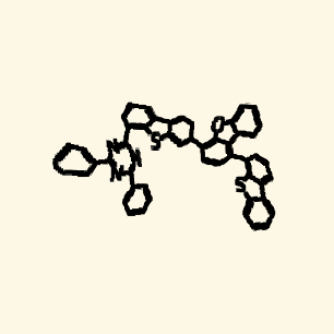 C1=c2sc3c(-c4nc(-c5ccccc5)nc(-c5ccccc5)n4)cccc3c2=CCC1c1ccc(-c2cccc3c2sc2ccccc23)c2c1oc1ccccc12